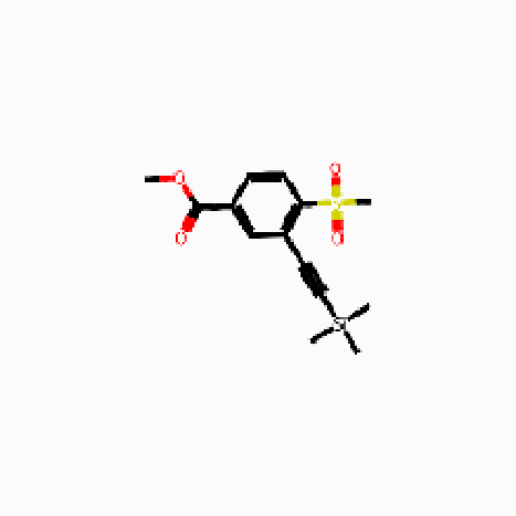 COC(=O)c1ccc(S(C)(=O)=O)c(C#C[Si](C)(C)C)c1